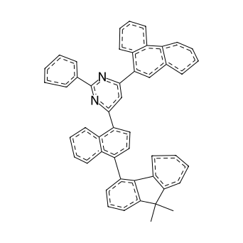 CC1(C)c2ccccc2-c2c(-c3ccc(-c4cc(-c5cc6ccccc6c6ccccc56)nc(-c5ccccc5)n4)c4ccccc34)cccc21